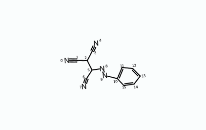 N#CC(C#N)C(C#N)N=Nc1ccccc1